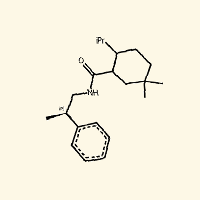 CC(C)C1CCC(C)(C)CC1C(=O)NC[C@H](C)c1ccccc1